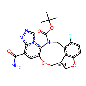 CC(C)(C)OC(=O)N1Cc2c(F)ccc3c2[C@H](CO3)COc2cc(C(N)=O)c3nncn3c21